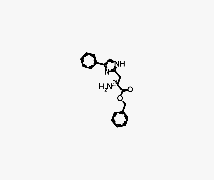 N[C@H](Cc1nc(-c2ccccc2)c[nH]1)C(=O)OCc1ccccc1